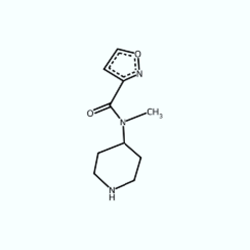 CN(C(=O)c1ccon1)C1CCNCC1